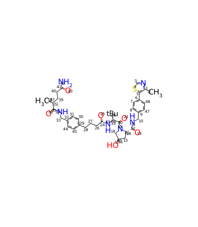 Cc1ncsc1-c1ccc(CNC(=O)[C@@H]2C[C@@H](O)CN2C(=O)[C@@H](NC(=O)CCCc2ccc(CNC(=O)[C@@H](C)CCC(N)=O)cc2)C(C)(C)C)cc1